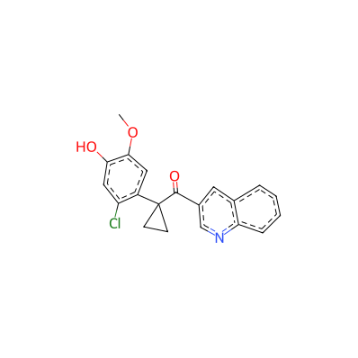 COc1cc(C2(C(=O)c3cnc4ccccc4c3)CC2)c(Cl)cc1O